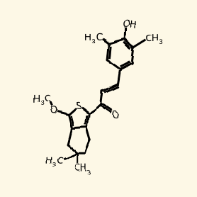 COc1sc(C(=O)C=Cc2cc(C)c(O)c(C)c2)c2c1CC(C)(C)CC2